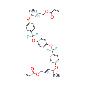 C=CC(=O)OC/C=C/C(CCCC)Oc1ccc(C(F)(F)Oc2ccc(OC(F)(F)c3ccc(OC(/C=C/COC(=O)C=C)CCCC)cc3)cc2)cc1